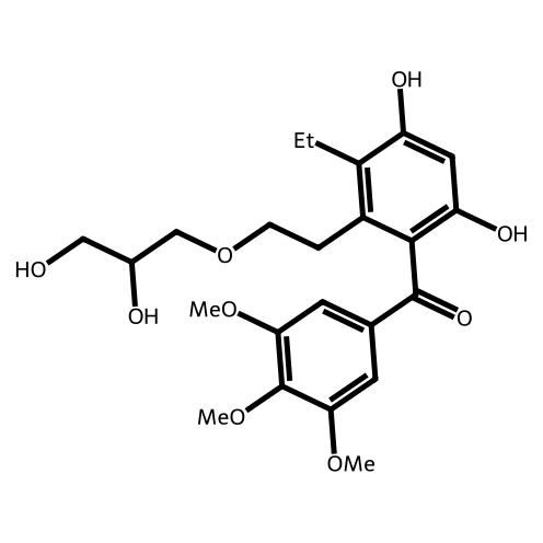 CCc1c(O)cc(O)c(C(=O)c2cc(OC)c(OC)c(OC)c2)c1CCOCC(O)CO